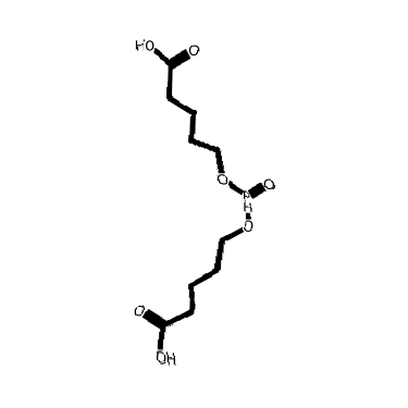 O=C(O)CCCCO[PH](=O)OCCCCC(=O)O